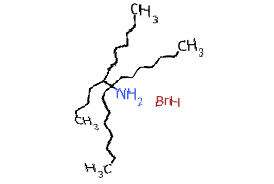 Br.CCCCCCCC(CCCC)C(N)(CCCCCCC)CCCCCCC